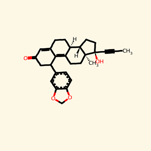 CC#C[C@@]1(O)CC[C@H]2[C@@H]3CCC4=CC(=O)CC(c5ccc6c(c5)OCO6)C4=C3CC[C@@]21C